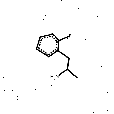 CC(N)Cc1ccccc1F